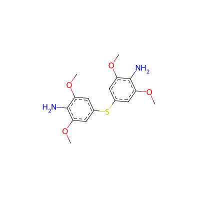 COc1cc(Sc2cc(OC)c(N)c(OC)c2)cc(OC)c1N